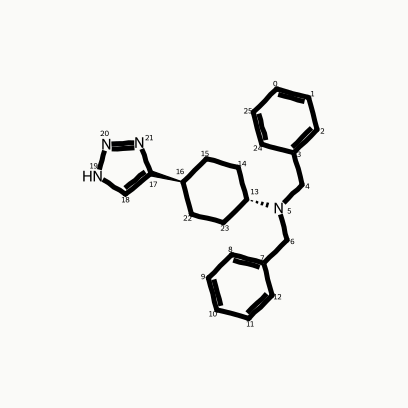 c1ccc(CN(Cc2ccccc2)[C@H]2CC[C@H](c3c[nH]nn3)CC2)cc1